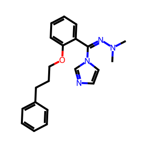 CN(C)N=C(c1ccccc1OCCCc1ccccc1)n1ccnc1